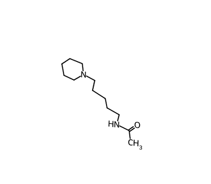 CC(=O)NCCCCCN1CCCCC1